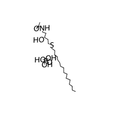 CCCCCCCCCCCCCCCCSCCC(O)CCNC(C)=O.O=P(O)(O)O